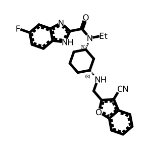 CCN(C(=O)c1nc2cc(F)ccc2[nH]1)[C@H]1CCC[C@@H](NCc2oc3ccccc3c2C#N)C1